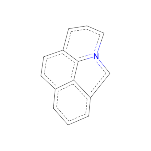 c1cc2ccc3cccn4cc(c1)c2c34